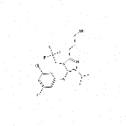 CC(C)c1nc(CCCO)n(CC(F)(F)F)c1Sc1cc(Cl)cc(Cl)c1